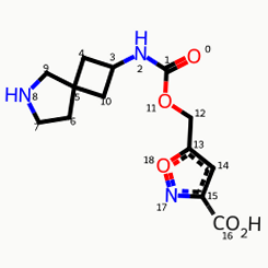 O=C(NC1CC2(CCNC2)C1)OCc1cc(C(=O)O)no1